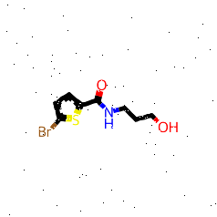 O=C(NCCCO)c1ccc(Br)s1